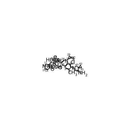 Cc1cc2c(=O)c(C(=O)OC(Cc3cccnc3)(P(=O)(O)O)P(=O)(O)O)cn(C3C[C@@H]3F)c2c(Cl)c1N1C[C@@H](N)C2(CC2)C1